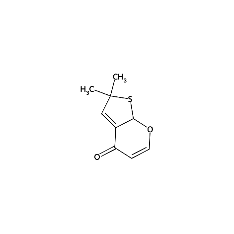 CC1(C)C=C2C(=O)C=COC2S1